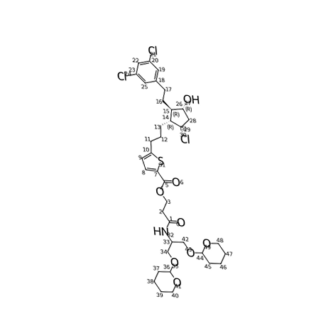 O=C(CCOC(=O)c1ccc(CCC[C@@H]2[C@@H](CCc3cc(Cl)cc(Cl)c3)[C@H](O)C[C@@H]2Cl)s1)NC(COC1CCCCO1)COC1CCCCO1